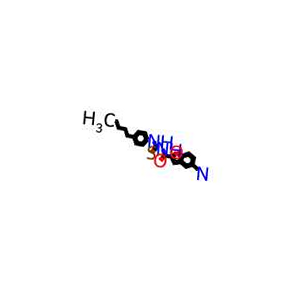 CCCCCc1ccc(NC(=S)NC(=O)c2cc3cc(C#N)ccc3o2)cc1